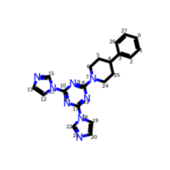 c1ccc(C2CCN(c3nc(-n4ccnc4)nc(-n4ccnc4)n3)CC2)cc1